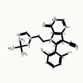 CC(C)(C)ON(C=O)CCn1c(-c2c(F)cccc2F)c(C#N)c2nc[nH]c(=O)c21